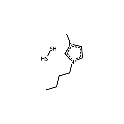 CCCC[n+]1ccn(C)c1.SS